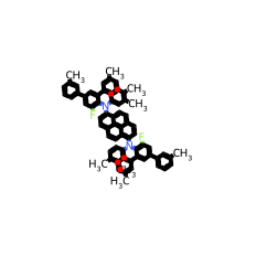 Cc1cccc(-c2cc(F)c(N(c3ccc(C)c(C)c3)c3ccc4ccc5c(N(c6ccc(C)c(C)c6)c6c(F)cc(-c7cccc(C)c7)cc6-c6cccc(C)c6)ccc6ccc3c4c65)c(-c3cccc(C)c3)c2)c1